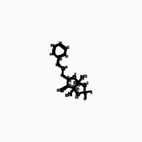 CC1(C)O[C@H]2O[C@H](COCc3ccccc3)C(=O)[C@H]2O1